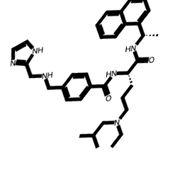 CCN(CCC[C@H](NC(=O)c1ccc(CNCc2ncc[nH]2)cc1)C(=O)N[C@@H](C)c1cccc2ccccc12)CC(C)C